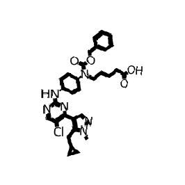 Cn1ncc(-c2nc(N[C@H]3CC[C@H](N(CCCCC(=O)O)C(=O)OCc4ccccc4)CC3)ncc2Cl)c1CC1CC1